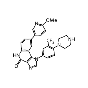 COc1ccc(-c2ccc3[nH]c(=O)c4ncn(-c5ccc(N6CCNCC6)c(C(F)(F)F)c5)c4c3c2)cn1